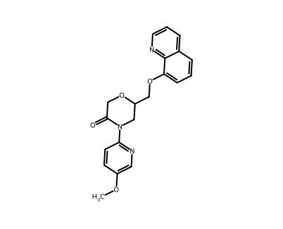 COc1ccc(N2CC(COc3cccc4cccnc34)OCC2=O)nc1